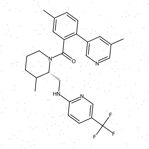 Cc1cncc(-c2ccc(C)cc2C(=O)N2CCCC(C)[C@H]2CNc2ccc(C(F)(F)F)cn2)c1